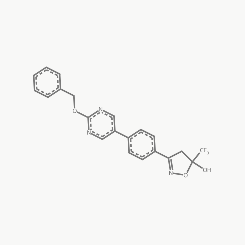 OC1(C(F)(F)F)CC(c2ccc(-c3cnc(OCc4ccccc4)nc3)cc2)=NO1